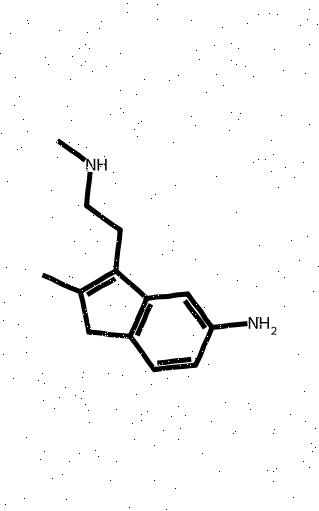 CNCCC1=C(C)Cc2ccc(N)cc21